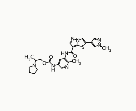 Cc1ncc(NC(=O)OCC(C)N2CCCC2)cc1NC(=O)c1cnn2cc(-c3cnn(C)c3)sc12